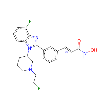 O=C(/C=C/c1cccc(-c2nc3c(F)cccc3n2C2CCCN(CCF)C2)c1)NO